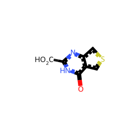 O=C(O)c1nc2cscc2c(=O)[nH]1